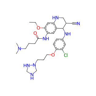 CCOc1cc2c(cc1NC(=O)CCCN(C)C)C(Nc1ccc(OCCCN3CNCN3)c(Cl)c1)C(C#N)CN2